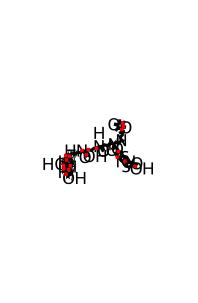 CC1=C(C)C(=O)C(C(C)(C)CCN(C)CCN(CCCC(=O)NCCCCC(NCCC[C@@H](C)[C@H]2CC[C@H]3[C@@H]4[C@@H](O)C[C@@H]5C[C@H](O)CC[C@]5(C)[C@H]4CC[C@]23C)C(=O)O)C(=O)Oc2ccc3nc(C4=NC(C(=O)O)CS4)sc3c2)=C(C)C1=O